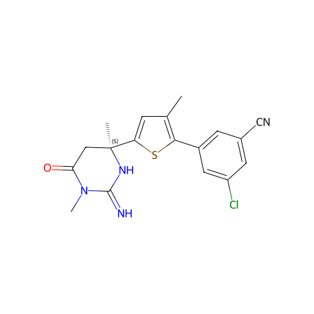 Cc1cc([C@]2(C)CC(=O)N(C)C(=N)N2)sc1-c1cc(Cl)cc(C#N)c1